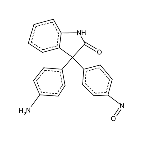 Nc1ccc(C2(c3ccc(N=O)cc3)C(=O)Nc3ccccc32)cc1